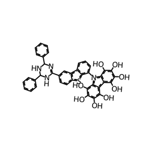 Oc1c(O)c(O)c2c(c1O)c1c(O)c(O)c(O)c(O)c1n2-c1cccc2c1sc1ccc(C3=NC(c4ccccc4)NC(c4ccccc4)N3)cc12